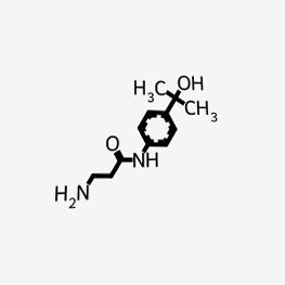 CC(C)(O)c1ccc(NC(=O)CCN)cc1